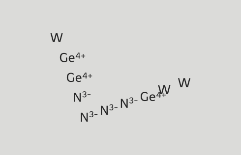 [Ge+4].[Ge+4].[Ge+4].[N-3].[N-3].[N-3].[N-3].[W].[W].[W]